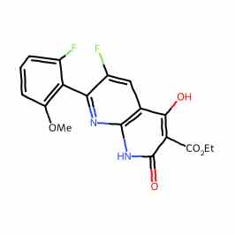 CCOC(=O)c1c(O)c2cc(F)c(-c3c(F)cccc3OC)nc2[nH]c1=O